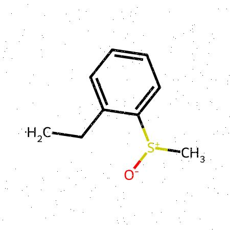 [CH2]Cc1ccccc1[S+](C)[O-]